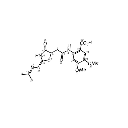 COc1cc(NC(=O)CC2S/C(=N/N=C(C)C)NC2=O)c(C(=O)O)cc1OC